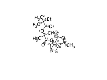 CCC(C)(C(=O)OC(C)(C)C(=O)OC1C2CC3C(=O)OC1(C)C3C2)C(F)(F)F